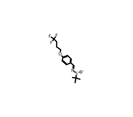 CC(C)(C)[S@@+]([O-])/N=C/c1ccc(OCCCC(F)(F)F)cc1